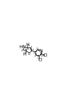 Clc1cc(C2=C[C@H]3NC[C@H]3C2)cnc1Cl